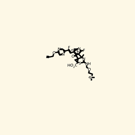 C#CCOc1cnc(/C(F)=C/c2cnc(F)c(C3(C)N=C(NCOCC[Si](C)(C)C)SC4(C(=O)O)CC43C(=O)OCCCC)c2)cn1